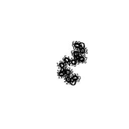 c1cc(-c2cccc(-c3cccc(-n4c5ccccc5c5c(-c6cccc7oc8ccccc8c67)cccc54)c3)n2)cc(-n2c3ccccc3c3c(-c4cccc5oc6ccccc6c45)cccc32)c1